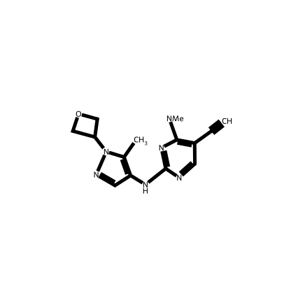 C#Cc1cnc(Nc2cnn(C3COC3)c2C)nc1NC